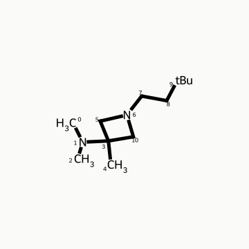 CN(C)C1(C)CN(CCC(C)(C)C)C1